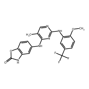 COc1ccc(C(F)(F)F)cc1Nc1ncc(C)c(Nc2ccc3oc(=O)[nH]c3c2)n1